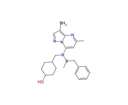 Bc1cnn2c(N(CC3CCC(O)CC3)B(C)Cc3ccccc3)cc(C)nc12